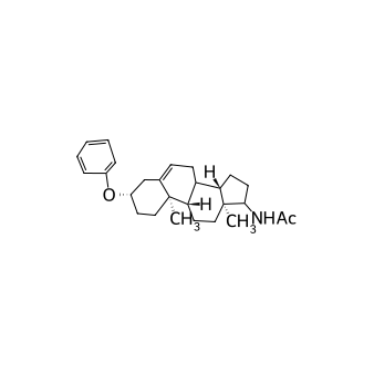 CC(=O)NC1CC[C@H]2C3CC=C4C[C@@H](Oc5ccccc5)CC[C@]4(C)[C@H]3CC[C@]12C